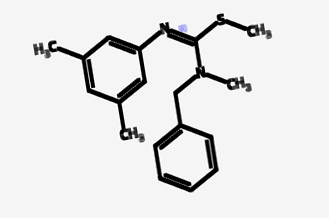 CS/C(=N/c1cc(C)cc(C)c1)N(C)Cc1ccccc1